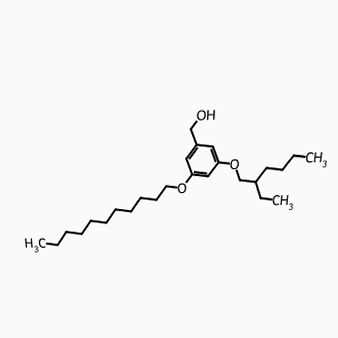 CCCCCCCCCCCOc1cc(CO)cc(OCC(CC)CCCC)c1